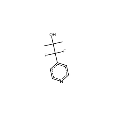 CC(C)(O)C(F)(F)c1c[c]ncc1